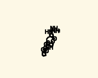 N=C(N)Nc1ccc2c(c1)CCCOc1c(cccc1C(=O)NOS(=O)(=O)c1ccccc1)OC2=O